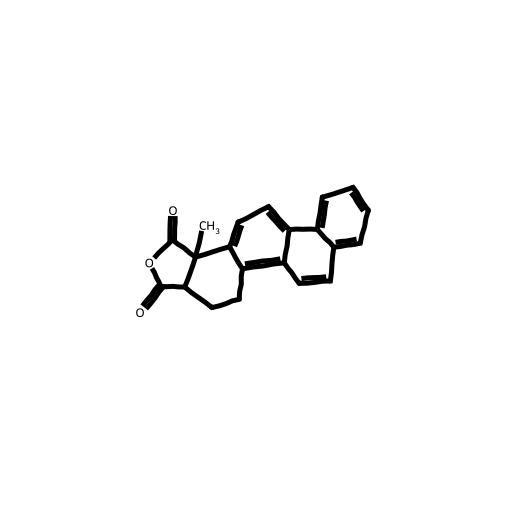 CC12C(=O)OC(=O)C1CCc1c2ccc2c1ccc1ccccc12